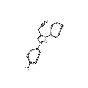 N#CCc1cn(-c2ccc(Cl)cc2)nc1-c1ccccc1